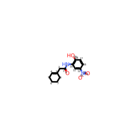 O=C(CC1=CCCCC1)Nc1cc([N+](=O)[O-])ccc1O